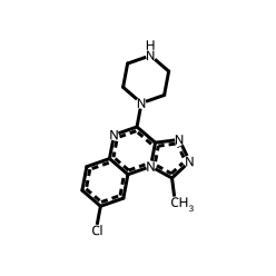 Cc1nnc2c(N3CCNCC3)nc3ccc(Cl)cc3n12